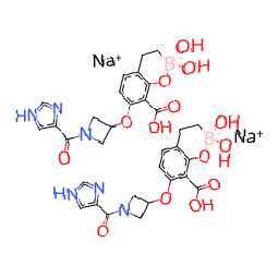 O=C(O)c1c(OC2CN(C(=O)c3c[nH]cn3)C2)ccc2c1O[B-](O)(O)CC2.O=C(O)c1c(OC2CN(C(=O)c3c[nH]cn3)C2)ccc2c1O[B-](O)(O)CC2.[Na+].[Na+]